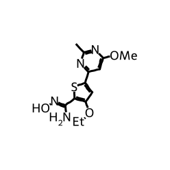 CCOc1cc(-c2cc(OC)nc(C)n2)sc1/C(N)=N/O